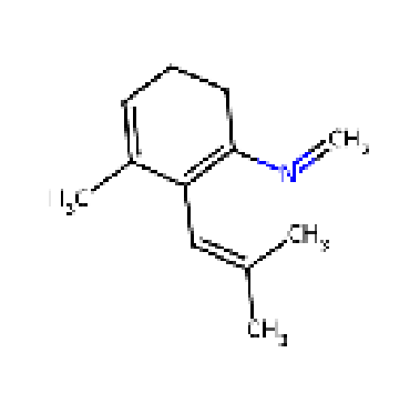 C=NC1=C(C=C(C)C)C(C)=CCC1